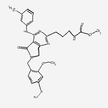 COC(=O)NCCCc1nc2c(c(Nc3cccc(C)c3)n1)C(=O)N(Cc1ccc(OC)cc1OC)C2